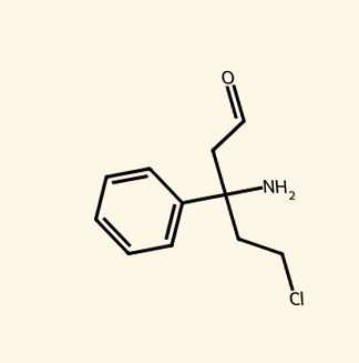 NC(CC=O)(CCCl)c1ccccc1